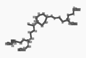 CCCCCCCCCCCCN(CCCCCCCCCC)CCCCC1CCSN(C(C)CCCN(CCCCCCCCCCC)CCNCCCCCCCCCC)CC1